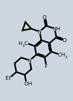 CCC1CCN(c2c(F)c(C)c3c(=O)[nH]c(=O)n(C4CC4)c3c2C)CC1O